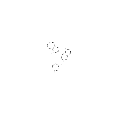 Oc1nccc(Nc2cc(-c3cc4ccccc4s3)c3[nH]ncc3c2)n1